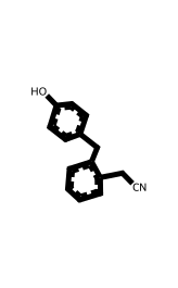 N#CCc1ccccc1Cc1ccc(O)cc1